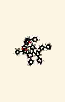 c1ccc(-c2ccc3c(c2)c2cc(-c4ccccc4)cc4c2n3-c2cc(-n3c5ccccc5c5ccccc53)c(-n3c5ccccc5c5ccccc53)c3c2C4c2cc(-c4ccccc4)cc4c5cc(-c6ccccc6)ccc5n-3c24)cc1